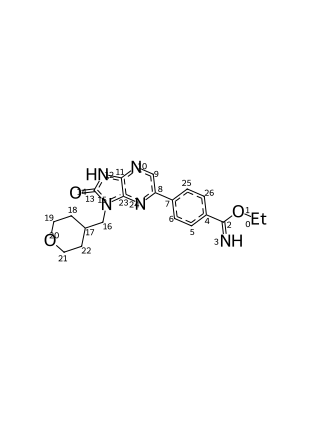 CCOC(=N)c1ccc(-c2cnc3[nH]c(=O)n(CC4CCOCC4)c3n2)cc1